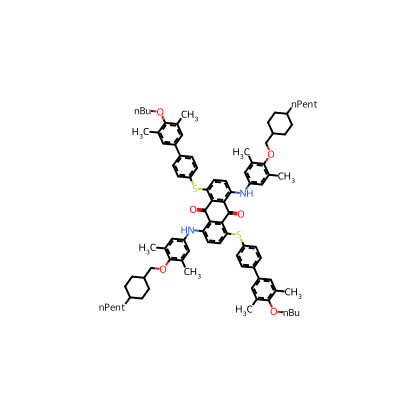 CCCCCC1CCC(COc2c(C)cc(Nc3ccc(Sc4ccc(-c5cc(C)c(OCCCC)c(C)c5)cc4)c4c3C(=O)c3c(Sc5ccc(-c6cc(C)c(OCCCC)c(C)c6)cc5)ccc(Nc5cc(C)c(OCC6CCC(CCCCC)CC6)c(C)c5)c3C4=O)cc2C)CC1